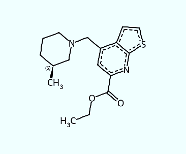 CCOC(=O)c1cc(CN2CCC[C@H](C)C2)c2ccsc2n1